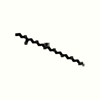 C=CCOC(=O)CCOCCOCCOCCOCCOCCN.Cl